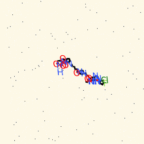 C=CC(=O)Nc1cc2c(Nc3ccc(F)c(Cl)c3)ncnc2cc1OCCCN1CCN(C(=O)CCCCCNc2cccc3c2C(=O)N(C2CCC(=O)NC2=O)C3=O)CC1